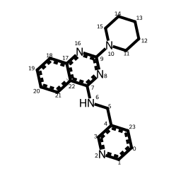 c1cncc(CNc2nc(N3CCCCC3)nc3ccccc23)c1